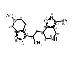 CC(=O)N1CCc2c(C(C)CC3CNCc4c(C(C)C)noc43)noc2C1